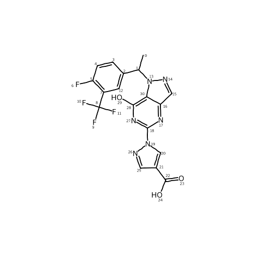 CC(c1ccc(F)c(C(F)(F)F)c1)n1ncc2nc(-n3cc(C(=O)O)cn3)nc(O)c21